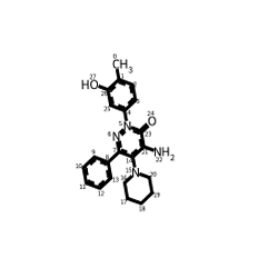 Cc1ccc(-n2nc(-c3ccccc3)c(N3CCCCC3)c(N)c2=O)cc1O